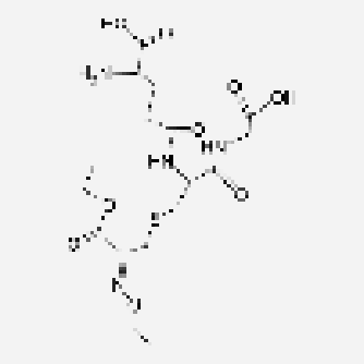 CCON=C(CSCC(NC(=O)CCC(N)C(=O)O)C(=O)NCC(=O)O)C(=O)OCC